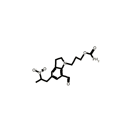 CC(Cc1cc(C=O)c2c(c1)CCN2CCCOC(=O)P)[N+](=O)[O-]